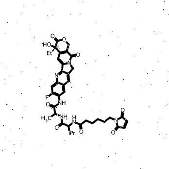 CC[C@@]1(O)C(=O)OCc2c1cc1n(c2=O)Cc2cc3cc(NC(=O)C(C)NC(=O)C(NC(=O)CCCCCN4C(=O)C=CC4=O)C(C)C)c(F)cc3nc2-1